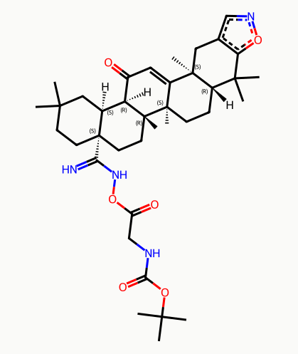 CC1(C)CC[C@]2(C(=N)NOC(=O)CNC(=O)OC(C)(C)C)CC[C@]3(C)[C@H](C(=O)C=C4[C@@]5(C)Cc6cnoc6C(C)(C)[C@@H]5CC[C@]43C)[C@@H]2C1